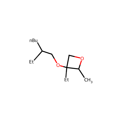 CCCCC(CC)COC1(CC)COC1C